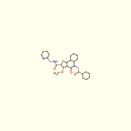 COc1c(C(=O)NCc2ccccn2)sc2c1c(=O)n(CC(=O)c1ccccc1)c1ccccc21